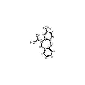 Cc1ccc2c(c1)N(C(=O)O)Cc1ccccc1O2